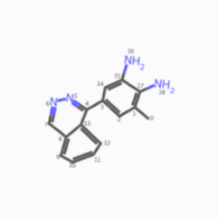 Cc1cc(-c2nncc3ccccc23)cc(N)c1N